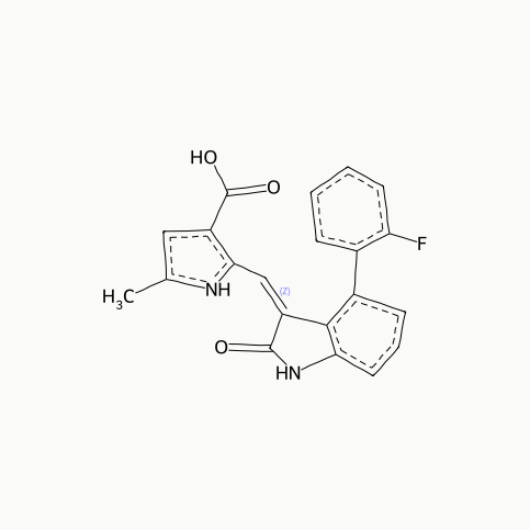 Cc1cc(C(=O)O)c(/C=C2\C(=O)Nc3cccc(-c4ccccc4F)c32)[nH]1